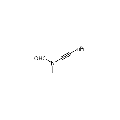 [CH2]CCC#CN(C)C=O